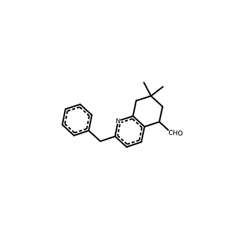 CC1(C)Cc2nc(Cc3ccccc3)ccc2C(C=O)C1